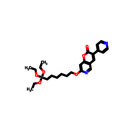 CCO[Si](CCCCCCOc1cc2oc(=O)c(-c3ccncc3)cc2cn1)(OCC)OCC